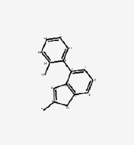 CC1=Cc2c(cccc2-c2ccccc2C)[CH]1